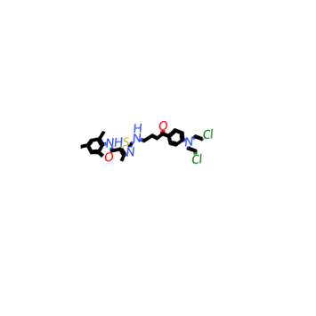 Cc1cc(C)c(NC(=O)c2sc(NCCCC(=O)c3ccc(N(CCCl)CCCl)cc3)nc2C)c(C)c1